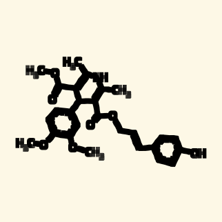 COC(=O)C1=C(C)NC(C)=C(C(=O)OCC=Cc2ccc(O)cc2)C1c1ccc(OC)c(OC)c1